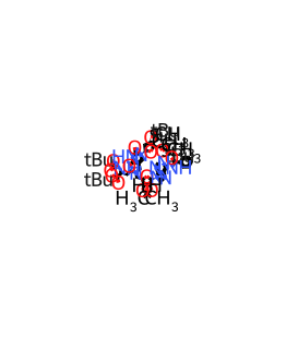 CC(C)(C)OC(=O)N[C@@H](CCN(Cc1cn([C@H]2C[C@H](O[Si](C)(C)C(C)(C)C)[C@@H](CO[Si](C)(C)C(C)(C)C)O2)c(=O)[nH]c1=O)C[C@H]1O[C@@H](n2cnc3c(NC(=O)c4ccccc4)ncnc32)[C@@H]2OC(C)(C)O[C@@H]21)C(=O)OC(C)(C)C